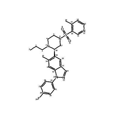 CCCN1CCN(S(=O)(=O)c2cnccc2C)C[C@H]1c1cc2cnn(-c3ccc(F)cc3)c2cc1C